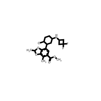 COC(=O)c1cc(C2CC(NC3CC(F)(F)C3)CCC2Cl)c2c(c1C)OC(C)O2